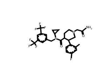 Cc1cc(F)ccc1C1CN(CC(N)=O)CCC1C(=O)N(Cc1cc(C(F)(F)F)cc(C(F)(F)F)c1)C1CC1